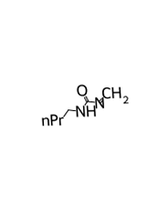 C=NC(=O)NCCCC